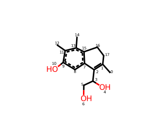 CC1=C(C(O)CO)c2cc(O)c(C)c(C)c2CC1